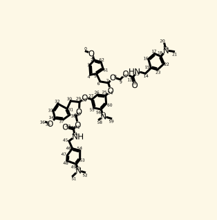 COc1ccc(CC(OCOC(=O)NCc2ccc(N(C)C)cc2)Oc2cc(OC(Cc3ccc(OC)cc3)OCOC(=O)NCc3ccc(N(C)C)cc3)cc(N(C)C)c2)cc1